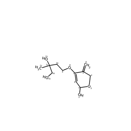 C=C1COC(O)C=C1OCCC(C)(O)CO